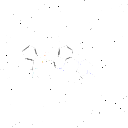 CN1CCN(c2cccc3c(S(=O)(=O)c4ccccc4C(F)(F)F)c[nH]c23)CC1